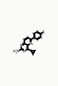 Nc1nc(C2CC2)c2nc(-c3ccc(F)cc3)ccc2n1